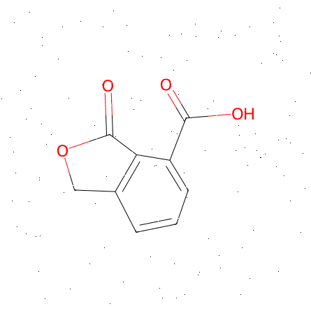 O=C(O)c1cccc2c1C(=O)OC2